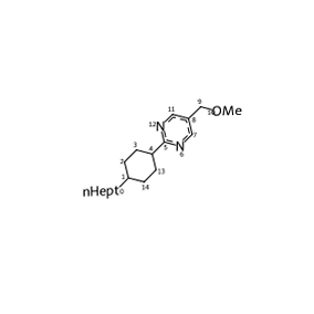 CCCCCCCC1CCC(c2ncc(COC)cn2)CC1